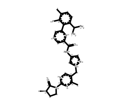 Cc1ccc(C(P)P)c(-c2cncc(C(=O)Nc3cnn(Cc4cnc(N5CC[C@@H](C)C5=O)nc4C)c3)n2)c1F